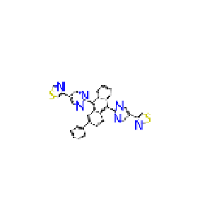 c1ccc(-c2ccc3c(-c4ncc(-c5cscn5)cn4)c4ccccc4c(-c4ncc(-c5cscn5)cn4)c3c2)cc1